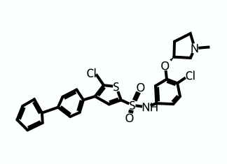 CN1CC[C@@H](Oc2cc(NS(=O)(=O)c3cc(-c4ccc(-c5ccccc5)cc4)c(Cl)s3)ccc2Cl)C1